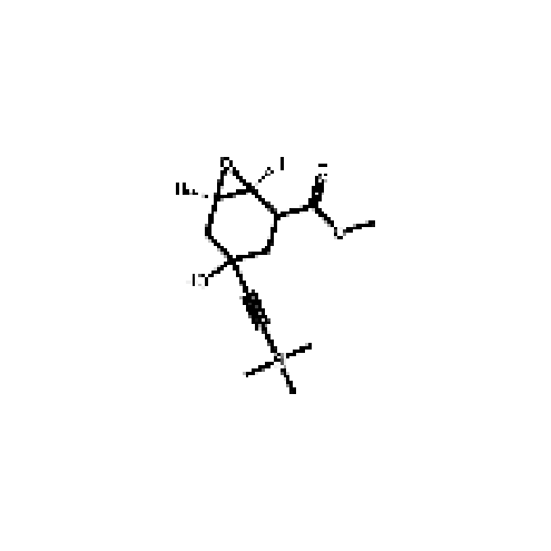 COC(=O)C1CC(O)(C#C[Si](C)(C)C)C[C@H]2O[C@@H]12